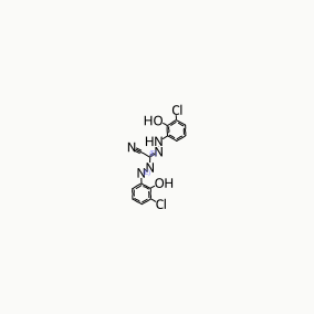 N#CC(/N=N/c1cccc(Cl)c1O)=N\Nc1cccc(Cl)c1O